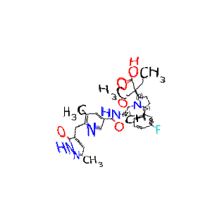 CCC(CC)(C(=O)O)[C@H]1CC[C@@H](c2cccc(F)c2)N1C(=O)[C@@H](C)NC(=O)c1cnc(Cc2cc(C)n[nH]c2=O)c(C)c1